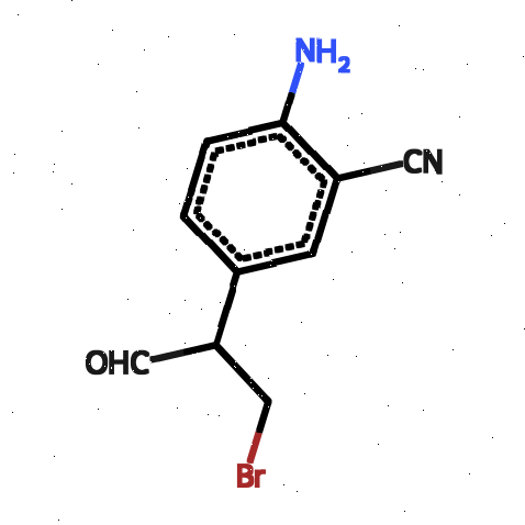 N#Cc1cc(C(C=O)CBr)ccc1N